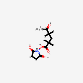 CNC(=O)C(C)(C)CC(C)(C)C(=O)ON1C(=O)CCC1=O